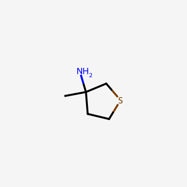 CC1(N)CCSC1